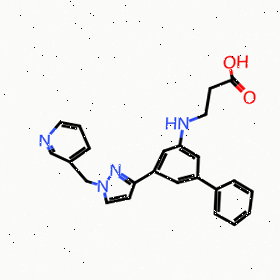 O=C(O)CCNc1cc(-c2ccccc2)cc(-c2ccn(Cc3cccnc3)n2)c1